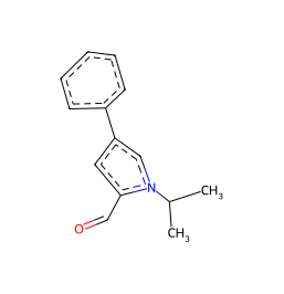 CC(C)n1cc(-c2ccccc2)cc1C=O